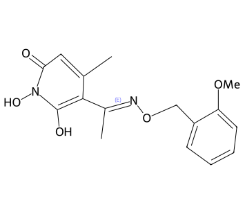 COc1ccccc1CO/N=C(\C)c1c(C)cc(=O)n(O)c1O